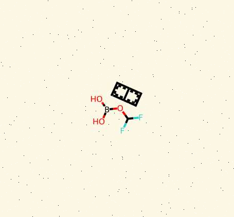 OB(O)OC(F)F.c1cc2ccc1-2